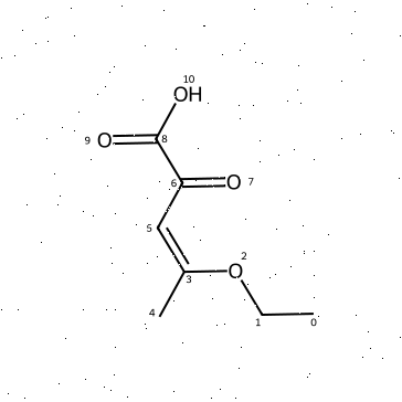 CCO/C(C)=C\C(=O)C(=O)O